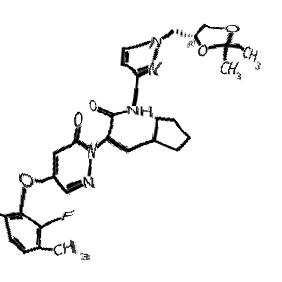 Cc1ccc(F)c(Oc2cnn(C(CC3CCCC3)C(=O)Nc3ccn(C[C@@H]4COC(C)(C)O4)n3)c(=O)c2)c1F